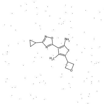 Cc1c(C2COC2)sc(N)c1-c1nc(C2CC2)no1